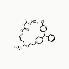 CC(OC(=O)OC/C=C\CC(OCCN1CCN(C(c2ccccc2)c2ccc(Cl)cc2)CC1)C(=O)O)O[N+](=O)[O-]